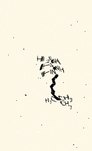 CC(C)(C)CCCCCCNC(=N)NC(=N)N